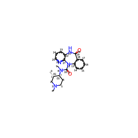 C[C@H]1CN(C)CC[C@@H]1N(C)C(=O)N1c2ccccc2C(=O)Nc2cccnc21